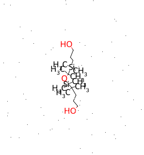 CC(C)(O[Si](C)(C)C(C)(C)CCCO)[Si](C)(C)CCCO